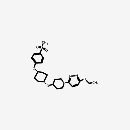 CCOc1ccc(N2CCC(O[C@H]3CC[C@H](Oc4ccc(S(C)(=O)=O)cc4)CC3)CC2)nn1